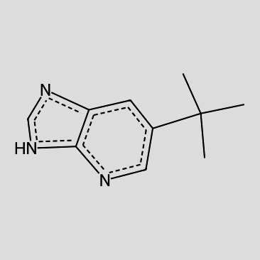 CC(C)(C)c1cnc2[nH]cnc2c1